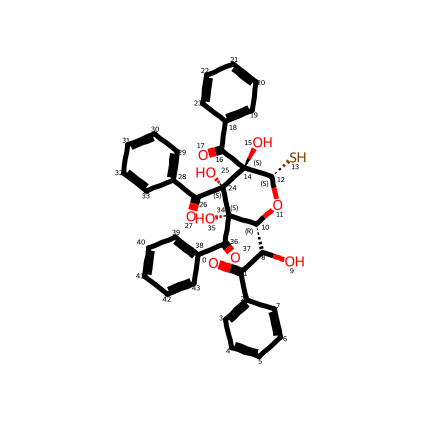 O=C(c1ccccc1)C(O)[C@H]1O[C@@H](S)[C@@](O)(C(=O)c2ccccc2)[C@](O)(C(=O)c2ccccc2)[C@]1(O)C(=O)c1ccccc1